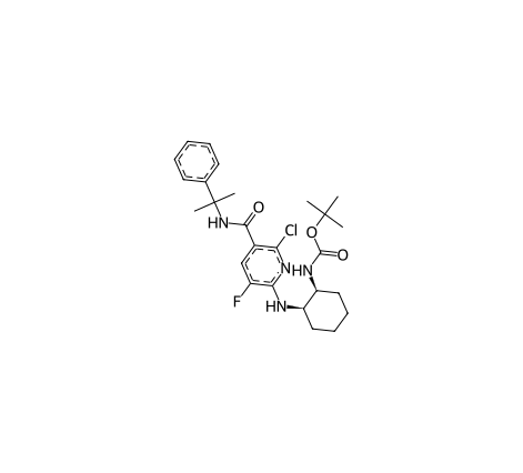 CC(C)(C)OC(=O)N[C@H]1CCCC[C@H]1Nc1nc(Cl)c(C(=O)NC(C)(C)c2ccccc2)cc1F